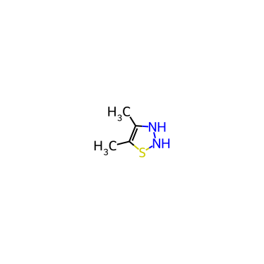 CC1=C(C)SNN1